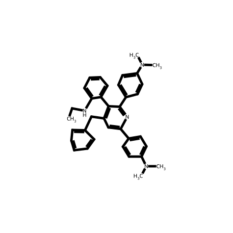 CCNc1ccccc1-c1c(Cc2ccccc2)cc(-c2ccc(N(C)C)cc2)nc1-c1ccc(N(C)C)cc1